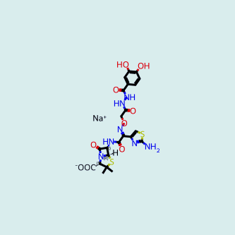 CC1(C)S[C@@H]2[C@H](NC(=O)C(=NOCC(=O)NNC(=O)c3ccc(O)c(O)c3)c3csc(N)n3)C(=O)N2[C@H]1C(=O)[O-].[Na+]